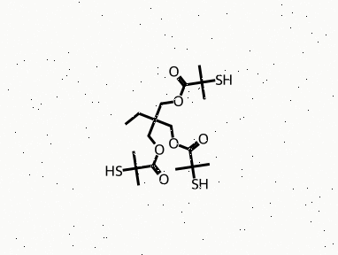 CCC(COC(=O)C(C)(C)S)(COC(=O)C(C)(C)S)COC(=O)C(C)(C)S